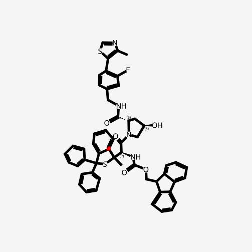 Cc1ncsc1-c1ccc(CNC(=O)[C@@H]2C[C@@H](O)CN2C(=O)[C@@H](NC(=O)OCC2c3ccccc3-c3ccccc32)C(C)(C)SC(c2ccccc2)(c2ccccc2)c2ccccc2)cc1F